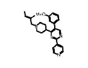 C/C=C(\C)CN1CCC(c2nc(-c3ccncc3)ncc2-c2cccc(OC)c2)CC1